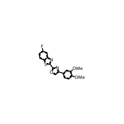 COc1ccc(-c2coc(-c3nc4cc(F)ccc4s3)n2)cc1OC